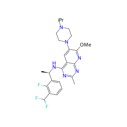 COc1nc2nc(C)nc(N[C@H](C)c3cccc(C(F)F)c3F)c2cc1N1CCN(C(C)C)CC1